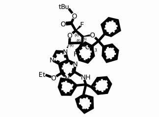 CCOc1nc(NC(c2ccccc2)(c2ccccc2)c2ccccc2)nc2c1ncn2[C@@H]1O[C@](F)(C(=O)OC(C)(C)C)[C@@H](OC(c2ccccc2)(c2ccccc2)c2ccccc2)[C@@]1(C)F